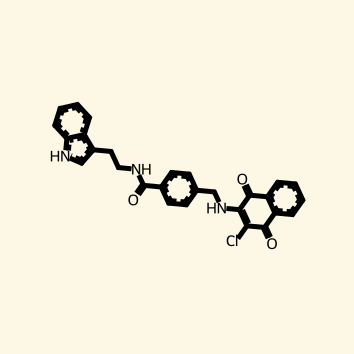 O=C(NCCc1c[nH]c2ccccc12)c1ccc(CNC2=C(Cl)C(=O)c3ccccc3C2=O)cc1